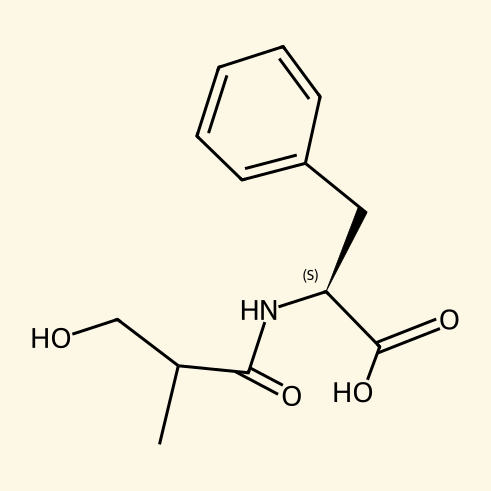 CC(CO)C(=O)N[C@@H](Cc1ccccc1)C(=O)O